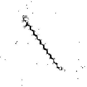 CCCCCC=CCC=CCC=CCC=CCCCC(=O)OCC